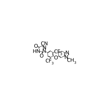 Cn1cnc2ccc(Oc3c(C(F)(F)F)cc(-n4nc(C#N)c(=O)[nH]c4=O)cc3C(F)(F)F)cc21